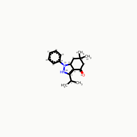 CC(C)C1=C2C(=O)CC(C)(C)CC2N(c2ccccc2)N1